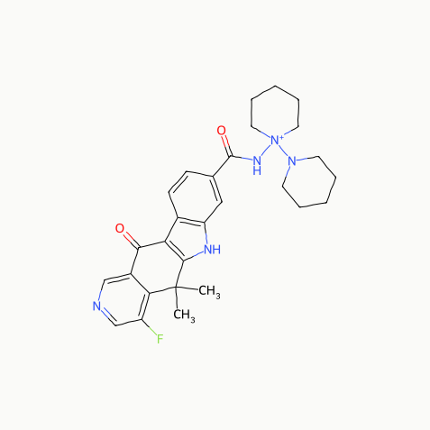 CC1(C)c2[nH]c3cc(C(=O)N[N+]4(N5CCCCC5)CCCCC4)ccc3c2C(=O)c2cncc(F)c21